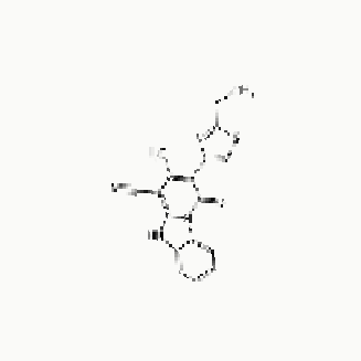 CCc1nc(-c2c(C)c(C#N)c3[nH]c4ccccc4n3c2=O)cs1